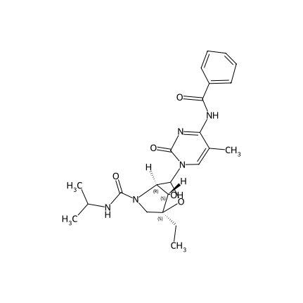 CC[C@@]12CN(C(=O)NC(C)C)[C@@H](C(n3cc(C)c(NC(=O)c4ccccc4)nc3=O)O1)[C@@H]2O